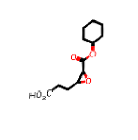 O=C(O)CCC1OC1C(=O)OC1CCCCC1